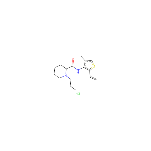 C=Cc1scc(C)c1NC(=O)C1CCCCN1CCC.Cl